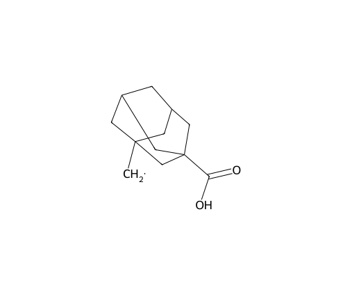 [CH2]C12CC3CC(C1)CC(C(=O)O)(C3)C2